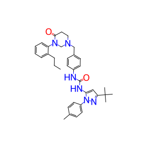 CCCc1ccccc1N1CN(Cc2ccc(NC(=O)Nc3cc(C(C)(C)C)nn3-c3ccc(C)cc3)cc2)CCC1=O